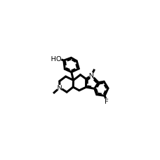 CN1CCC2(c3cccc(O)c3)Cc3c(c4cc(F)ccc4n3C)CC2C1